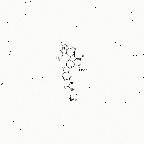 CNCCNC(=O)Nc1ccc2c(c1)C(=O)C(=Cc1c(-c3c(C)nn(C)c3C)[nH]c3c(F)cc(OC)cc13)O2